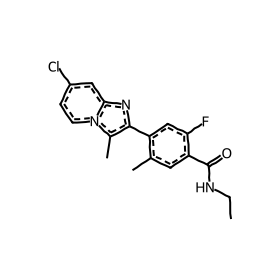 CCNC(=O)c1cc(C)c(-c2nc3cc(Cl)ccn3c2C)cc1F